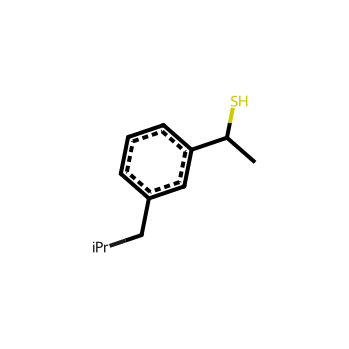 CC(C)Cc1cccc(C(C)S)c1